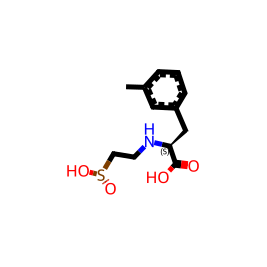 Cc1cccc(C[C@H](NCCS(=O)O)C(=O)O)c1